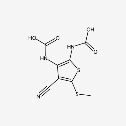 CSc1sc(NC(=O)O)c(NC(=O)O)c1C#N